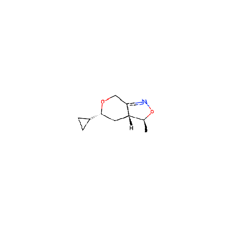 C[C@@H]1ON=C2CO[C@@H](C3CC3)C[C@H]21